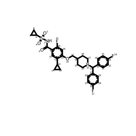 O=C(NS(=O)(=O)C1CC1)c1cc(C2CC2)c(OCC2CCN(C(c3ccc(F)cc3)c3ccc(F)cc3)CC2)cc1F